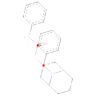 O=C(Nc1ccccc1)OC1CC2CCCC(C1)N2Cc1ccccc1